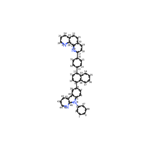 c1ccc(-n2c3ccc(-c4ccc(-c5ccc(-c6ccc7ccc8cccnc8c7n6)cc5)c5ccccc45)cc3c3cccnc32)cc1